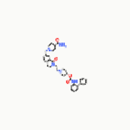 NC(=O)C1CCN(Cc2ccc3c(c2)C(=O)N(CCN2CCC(OC(=O)Nc4ccccc4-c4ccccc4)CC2)CC3)CC1